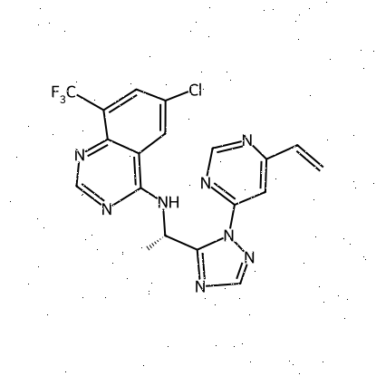 C=Cc1cc(-n2ncnc2[C@H](C)Nc2ncnc3c(C(F)(F)F)cc(Cl)cc23)ncn1